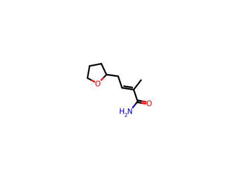 C/C(=C\CC1CCCO1)C(N)=O